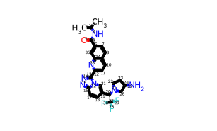 CC(C)NC(=O)c1ccc2ccc(-c3nnc4ccc([C@H](N5CCC(N)C5)C(F)(F)F)cn34)nc2c1